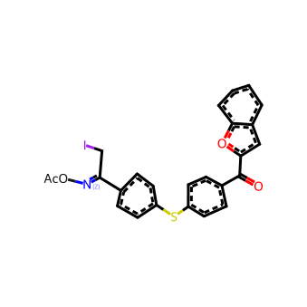 CC(=O)O/N=C(\CI)c1ccc(Sc2ccc(C(=O)c3cc4ccccc4o3)cc2)cc1